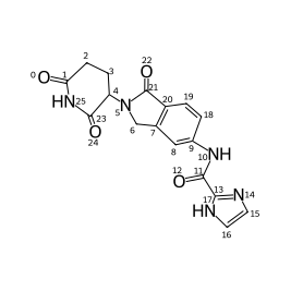 O=C1CCC(N2Cc3cc(NC(=O)c4ncc[nH]4)ccc3C2=O)C(=O)N1